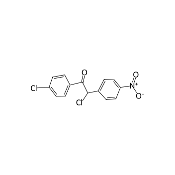 O=C(c1ccc(Cl)cc1)C(Cl)c1ccc([N+](=O)[O-])cc1